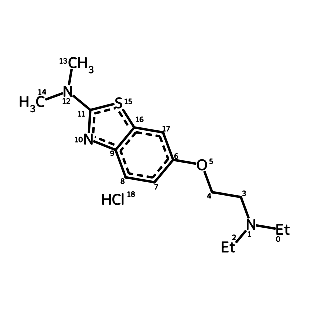 CCN(CC)CCOc1ccc2nc(N(C)C)sc2c1.Cl